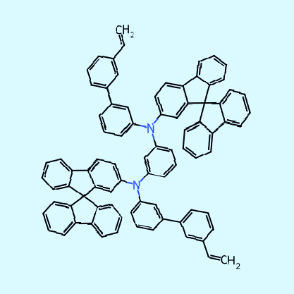 C=Cc1cccc(-c2cccc(N(c3cccc(N(c4cccc(-c5cccc(C=C)c5)c4)c4ccc5c(c4)C4(c6ccccc6-c6ccccc64)c4ccccc4-5)c3)c3ccc4c(c3)C3(c5ccccc5-c5ccccc53)c3ccccc3-4)c2)c1